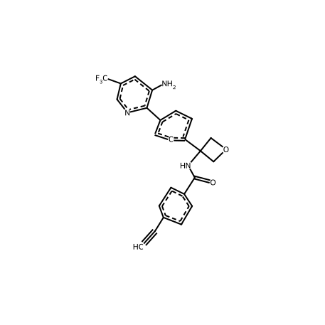 C#Cc1ccc(C(=O)NC2(c3ccc(-c4ncc(C(F)(F)F)cc4N)cc3)COC2)cc1